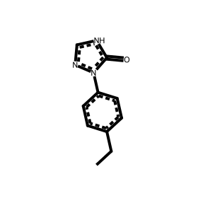 CCc1ccc(-n2nc[nH]c2=O)cc1